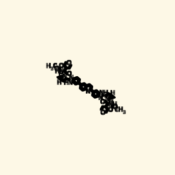 COC(=O)N[C@H](C(=O)N1C(c2nc3ccc(-c4ccc5nc(-c6ccc7nc([C@@H]8C[C@H]9C[C@H]9N8C(=O)[C@@H](NC(=O)OC)C8CCOCC8)[nH]c7c6)ccc5c4)cc3[nH]2)C[C@H]2C[C@H]21)C1CCOCC1